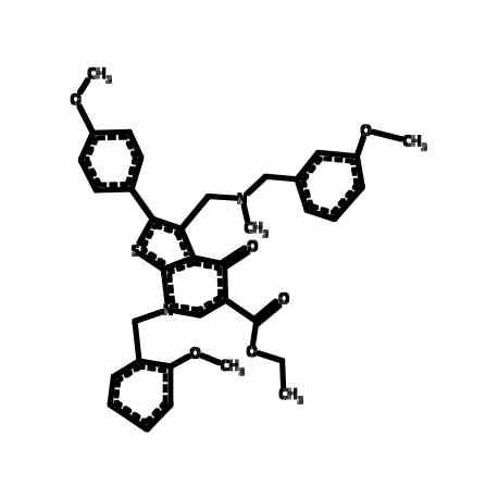 CCOC(=O)c1cn(Cc2ccccc2OC)c2sc(-c3ccc(OC)cc3)c(CN(C)Cc3cccc(OC)c3)c2c1=O